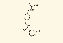 Cc1cc(C(=O)NC[C@H]2CC[C@H](CNC(=O)O)CC2)cc(Cl)n1